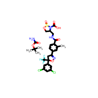 CC(C)(C)OC(N)=O.Cc1cc(C2=NOC(c3cc(Cl)cc(Cl)c3)(C(F)(F)F)C2)ccc1C(=O)NCC1COS(=O)N1C(=O)O